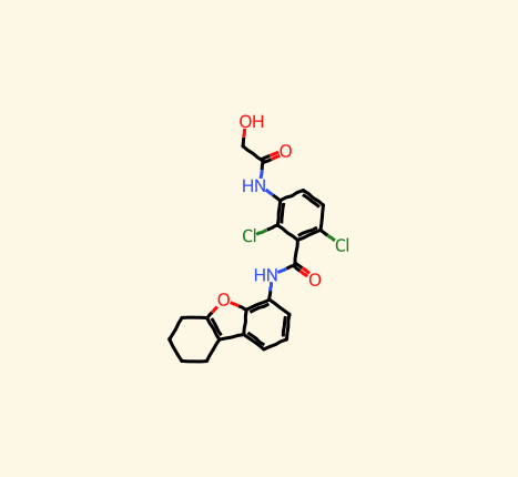 O=C(CO)Nc1ccc(Cl)c(C(=O)Nc2cccc3c4c(oc23)CCCC4)c1Cl